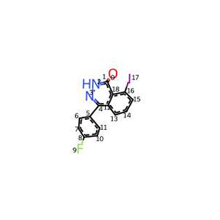 O=c1[nH]nc(-c2ccc(F)cc2)c2cccc(I)c12